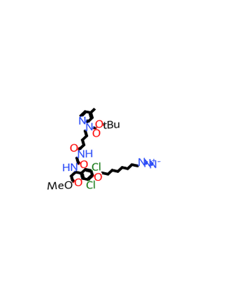 COC(=O)CC(NC(=O)CNC(=O)CCCCN(C(=O)OC(C)(C)C)c1cc(C)ccn1)c1cc(Cl)c(OCCCCCCCCN=[N+]=[N-])c(Cl)c1